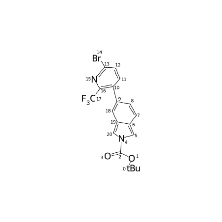 CC(C)(C)OC(=O)n1cc2ccc(-c3ccc(Br)nc3C(F)(F)F)cc2c1